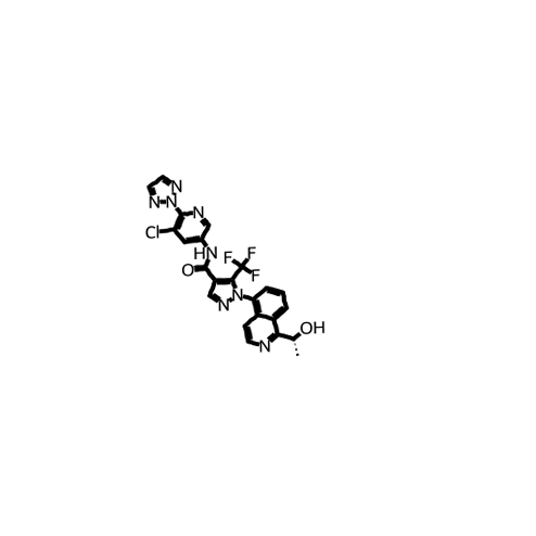 C[C@@H](O)c1nccc2c(-n3ncc(C(=O)Nc4cnc(-n5nccn5)c(Cl)c4)c3C(F)(F)F)cccc12